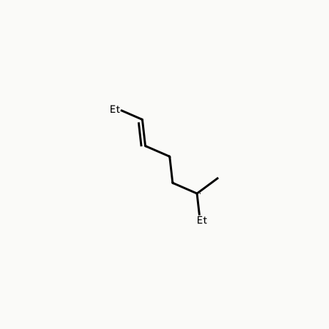 CCC=CCC[C](C)CC